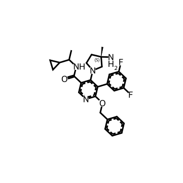 CC(NC(=O)c1cnc(OCc2ccccc2)c(-c2cc(F)cc(F)c2)c1N1CC[C@](C)(N)C1)C1CC1